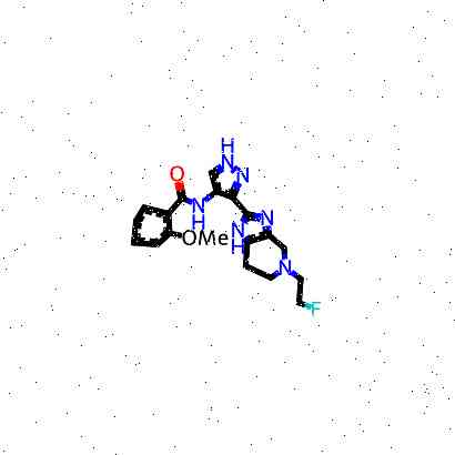 COc1ccccc1C(=O)Nc1c[nH]nc1-c1nc2c([nH]1)CCN(CCF)C2